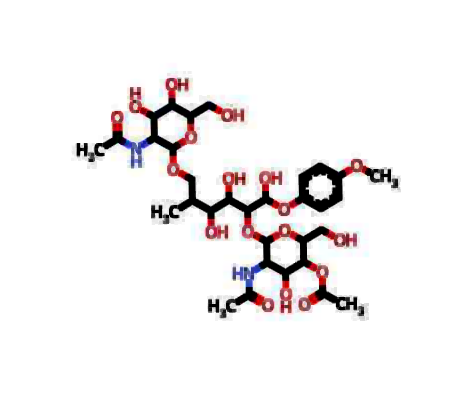 COc1ccc(OC(O)C(OC2OC(CO)C(OC(C)=O)C(O)C2NC(C)=O)C(O)C(O)C(C)COC2OC(CO)C(O)C(O)C2NC(C)=O)cc1